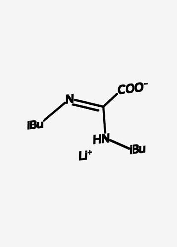 CCC(C)N=C(NC(C)CC)C(=O)[O-].[Li+]